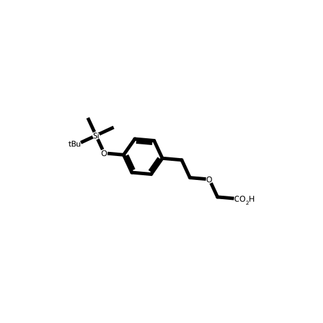 CC(C)(C)[Si](C)(C)Oc1ccc(CCOCC(=O)O)cc1